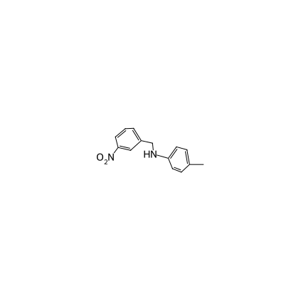 Cc1ccc(NCc2cccc([N+](=O)[O-])c2)cc1